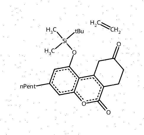 C=C.CCCCCc1cc(O[Si](C)(C)C(C)(C)C)c2c3c(c(=O)oc2c1)CCC(=O)C3